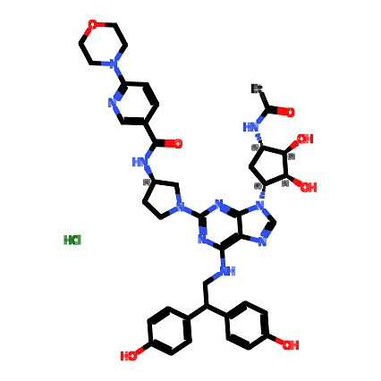 CCC(=O)N[C@H]1C[C@@H](n2cnc3c(NCC(c4ccc(O)cc4)c4ccc(O)cc4)nc(N4CC[C@@H](NC(=O)c5ccc(N6CCOCC6)nc5)C4)nc32)[C@H](O)[C@@H]1O.Cl